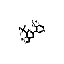 COc1ccncc1-c1cc2cn[nH]c2c(C(F)(F)F)n1